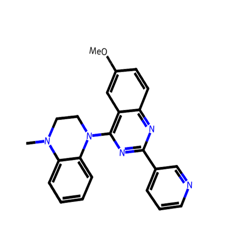 COc1ccc2nc(-c3cccnc3)nc(N3CCN(C)c4ccccc43)c2c1